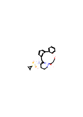 O=C1CCOc2ccccc2-c2cccc(c2)C[C@H]2[C@@H](NS(=O)(=O)C3CC3)CCCN12